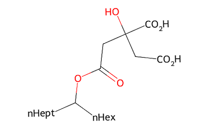 CCCCCCCC(CCCCCC)OC(=O)CC(O)(CC(=O)O)C(=O)O